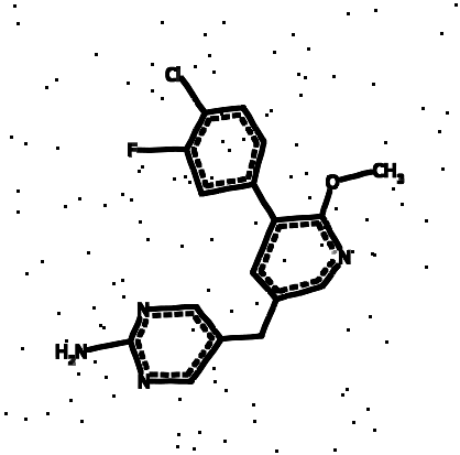 COc1ncc(Cc2cnc(N)nc2)cc1-c1ccc(Cl)c(F)c1